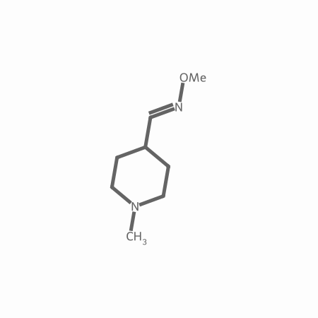 CO/N=C/C1CCN(C)CC1